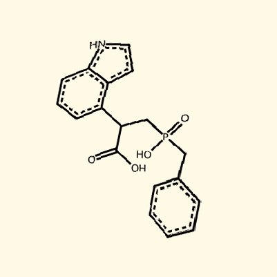 O=C(O)C(CP(=O)(O)Cc1ccccc1)c1cccc2[nH]ccc12